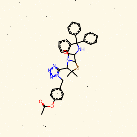 CC(=O)Oc1ccc(Cn2nnnc2C2N3C(=O)C(NC(c4ccccc4)(c4ccccc4)c4ccccc4)C3SC2(C)C)cc1